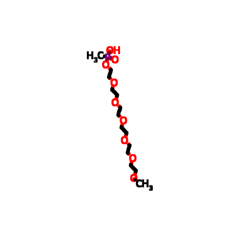 COCCOCCOCCOCCOCCOCCOP(C)(=O)O